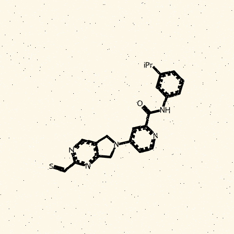 CC(C)c1cccc(NC(=O)c2cc(N3Cc4cnc(C=S)nc4C3)ccn2)c1